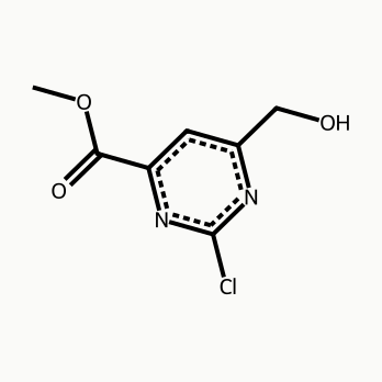 COC(=O)c1cc(CO)nc(Cl)n1